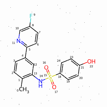 Cc1ccc(-c2ccc(F)cn2)cc1NS(=O)(=O)c1ccc(O)cc1